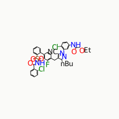 CCCCc1nn(-c2cc(NC(=O)COCC)ccc2Cl)c(C#N)c1Cc1ccc(-c2ccccc2S(=O)(=O)NC(=O)c2ccccc2Cl)cc1F